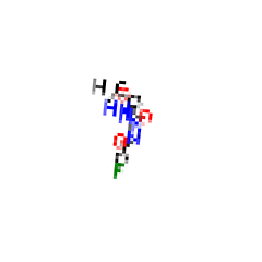 COc1cccc2c(C(=O)N3CCN(CC(=O)c4ccc(F)cc4)CC3)n[nH]c12